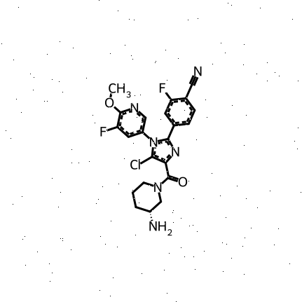 COc1ncc(-n2c(-c3ccc(C#N)c(F)c3)nc(C(=O)N3CCC[C@@H](N)C3)c2Cl)cc1F